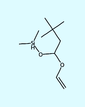 C=COC(CC(C)(C)C)O[SiH](C)C